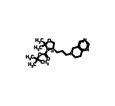 CC(C)(C)OC(=O)N1[C@H](CCCN2CCc3ncncc3C2)COC1(C)C